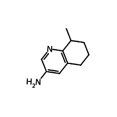 CC1CCCc2cc(N)cnc21